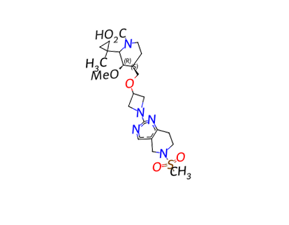 CO[C@H]1C(C2(C)CC2)N(C(=O)O)CC[C@H]1COC1CN(c2ncc3c(n2)CCN(S(C)(=O)=O)C3)C1